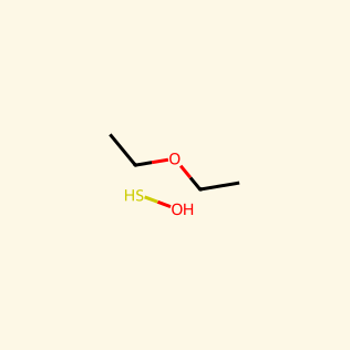 CCOCC.OS